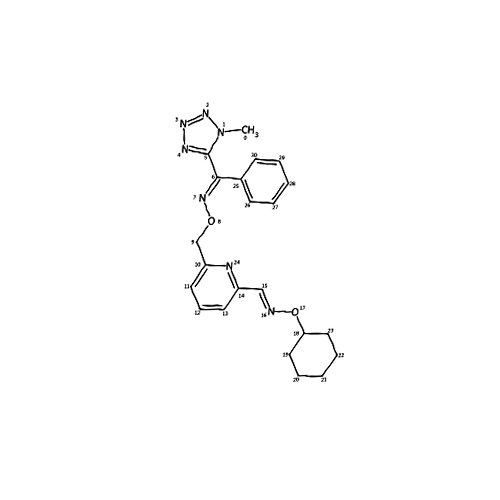 Cn1nnnc1/C(=N/OCc1cccc(/C=N/OC2CCCCC2)n1)c1ccccc1